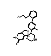 CC(=O)CCc1ccccc1-c1ccc(C2CNCC[C@@]23OCc2cn(C)c(=O)cc23)c(C)c1